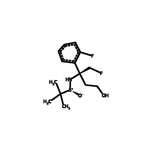 CC(C)(C)[S@@+]([O-])N[C@@](CF)(CCO)c1ccccc1F